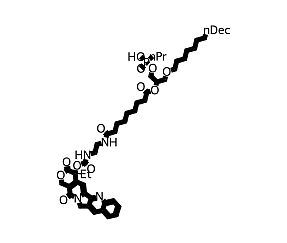 CCCCCCCCCCCCCCCCCOCC(COP(=O)(O)CCC)OC(=O)CCCCCCCC(=O)NCCNC(=O)O[C@]1(CC)C(=O)OCc2c1cc1n(c2=O)Cc2cc3ccccc3nc2-1